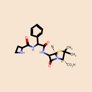 CC1(C)S[C@@H]2C(NC(=O)C(NC(=O)C3CCN3)c3ccccc3)C(=O)N2[C@H]1C(=O)O